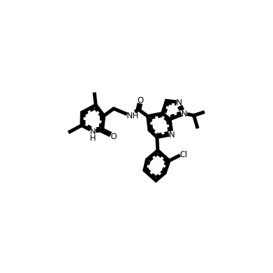 Cc1cc(C)c(CNC(=O)c2cc(-c3ccccc3Cl)nc3c2cnn3C(C)C)c(=O)[nH]1